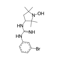 CC1(C)CC(NC(=N)Nc2cccc(Br)c2)C(C)(C)N1O